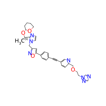 C[C@H](OC1CCCCO1)c1nccn1Cc1cc(-c2ccc(C#Cc3ccc(COCCn4cncn4)nc3)cc2)on1